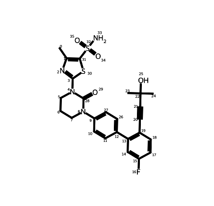 Cc1nc(N2CCCN(c3ccc(-c4cc(F)ccc4C#CC(C)(C)O)cc3)C2=O)sc1S(N)(=O)=O